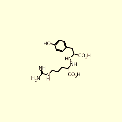 N=C(N)NCCC[C@H](NN[C@@H](Cc1ccc(O)cc1)C(=O)O)C(=O)O